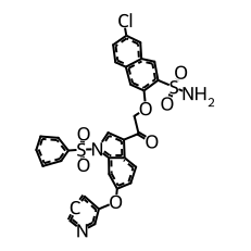 NS(=O)(=O)c1cc2cc(Cl)ccc2cc1OCC(=O)c1cn(S(=O)(=O)c2ccccc2)c2cc(Oc3cccnc3)ccc12